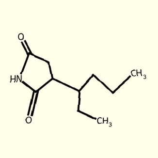 CCCC(CC)C1CC(=O)NC1=O